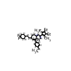 C=Cc1ccc(C2=CC(CCC3CCC(F)(F)CC3)CC/C(=C/C(=C\N)C3=C(C)C(CC)C(CC)=C3C)C2)cc1